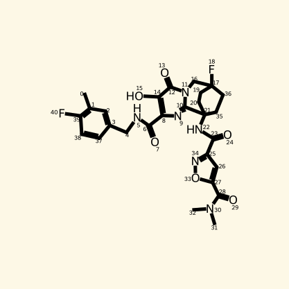 Cc1cc(CNC(=O)c2nc3n(c(=O)c2O)CC2(F)CCC3(NC(=O)c3cc(C(=O)N(C)C)on3)CC2)ccc1F